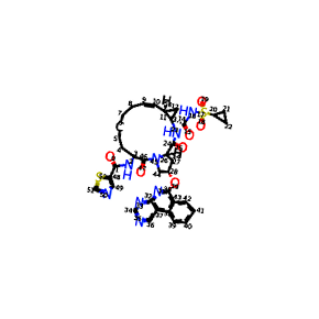 O=C(N[C@H]1CCCCCC=C[C@@H]2C[C@@]2(C(=O)NS(=O)(=O)C2CC2)NC(=O)[C@@H]2C[C@@H](Oc3nc4ncncc4c4ccccc34)CN2C1=O)c1cncs1